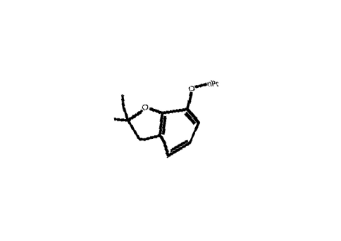 [CH2]CCOc1cccc2c1OC(C)(C)C2